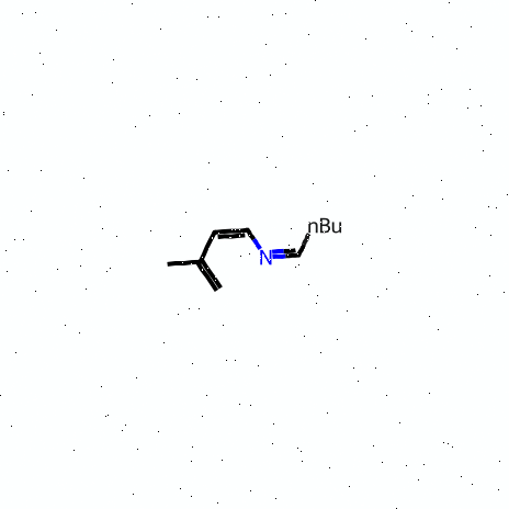 C=C(C)/C=C\N=C/CCCC